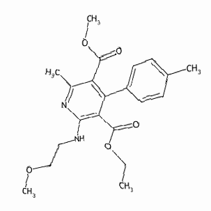 CCOC(=O)c1c(NCCOC)nc(C)c(C(=O)OC)c1-c1ccc(C)cc1